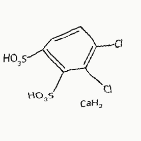 O=S(=O)(O)c1ccc(Cl)c(Cl)c1S(=O)(=O)O.[CaH2]